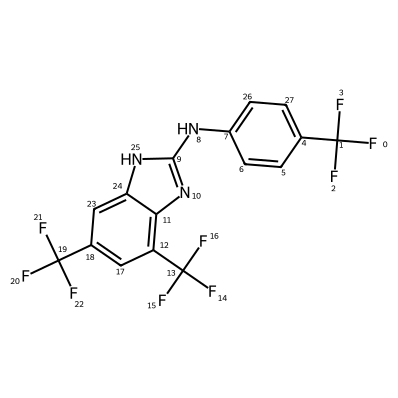 FC(F)(F)c1ccc(Nc2nc3c(C(F)(F)F)cc(C(F)(F)F)cc3[nH]2)cc1